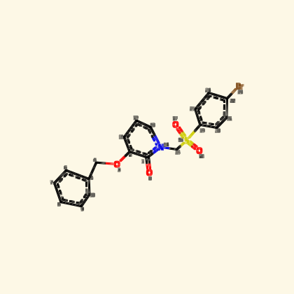 O=c1c(OCc2ccccc2)cccn1CS(=O)(=O)c1ccc(Br)cc1